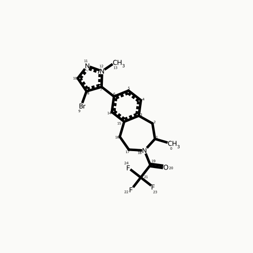 CC1Cc2ccc(-c3c(Br)cnn3C)cc2CCN1C(=O)C(F)(F)F